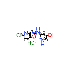 Cl.OC1CNCC(Nc2nc3nc(Cl)ccc3o2)C1